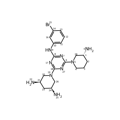 N[C@@H]1CCCN(c2nc(Nc3cccc(Br)c3)nc(N3C[C@H](N)C[C@H](N)C3)n2)C1